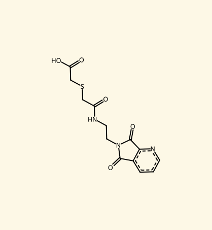 O=C(O)CSCC(=O)NCCN1C(=O)c2cccnc2C1=O